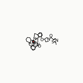 Cc1ncc(C(=O)N2CCC(Oc3cccc4c3[C@@H](CN3C(=O)c5ccccc5C3=O)N(C(=O)C3CCCC[C@H]3C(=O)O)CC4)C2)s1